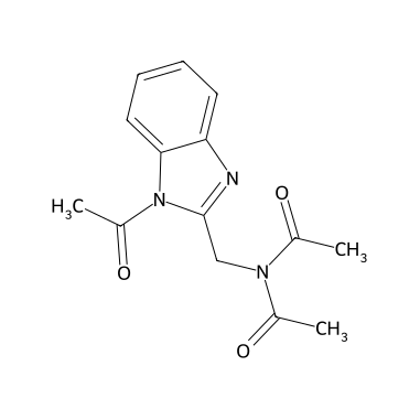 CC(=O)N(Cc1nc2ccccc2n1C(C)=O)C(C)=O